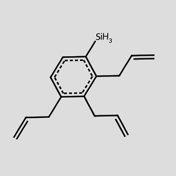 C=CCc1ccc([SiH3])c(CC=C)c1CC=C